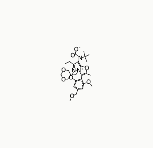 CCC1=N[N+]2(CC3COCOC3)C(=C1N(C(=O)[O-])C(C)(C)C)OC(C)=C2c1c(OC)cc(COC)cc1OC